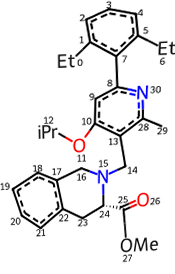 CCc1cccc(CC)c1-c1cc(OC(C)C)c(CN2Cc3ccccc3C[C@H]2C(=O)OC)c(C)n1